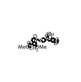 COc1cc(C(=O)N(C)OC)c2ccc(=O)n(CCN3CCC(N(Cc4ccc5c(c4)OCCO5)C(=O)OC(C)(C)C)CC3)c2c1